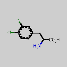 NC(Cc1ccc(Cl)c(F)c1)C(=O)O